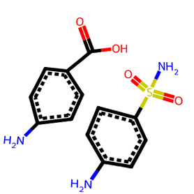 Nc1ccc(C(=O)O)cc1.Nc1ccc(S(N)(=O)=O)cc1